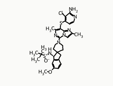 COc1ccc2c(c1)[C@@H](N[S+]([O-])C(C)(C)C)C1(CCN(c3nc(C)c(Sc4ccnc(N)c4Cl)c4nc(C)cn34)CC1)C2